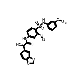 CCOc1cc(NC(=O)C(O)c2ccc3c(c2)OCO3)ccc1S(=O)(=O)Nc1cccc(OC(F)(F)F)c1